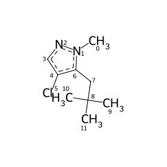 Cn1ncc(Cl)c1CC(C)(C)C